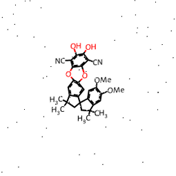 COc1cc2c(cc1OC)C1(CC2(C)C)CC(C)(C)c2cc3c(cc21)Oc1c(C#N)c(O)c(O)c(C#N)c1O3